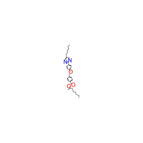 CCCCCCc1cnc(-c2ccc(OCc3ccc(C(=O)OC(C)CCCCCC)cc3)cc2)nc1